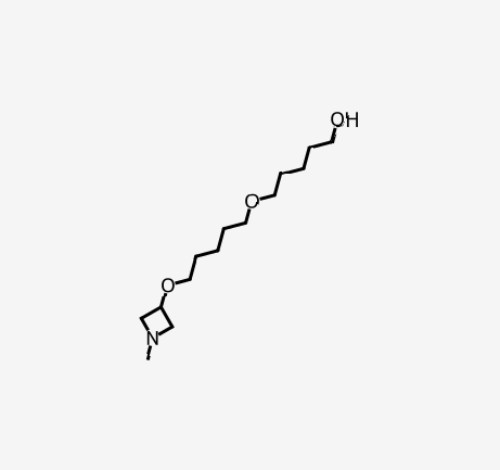 CN1CC(OCCCCCOCCCCCO)C1